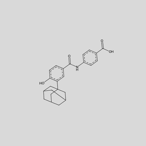 O=C(O)c1ccc(NC(=O)c2ccc(O)c(C34CC5CC(CC(C5)C3)C4)c2)cc1